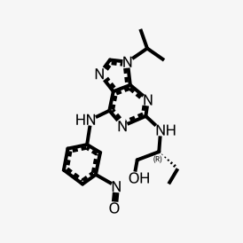 CC[C@H](CO)Nc1nc(Nc2cccc(N=O)c2)c2ncn(C(C)C)c2n1